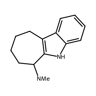 CNC1CCCCc2c1[nH]c1ccccc21